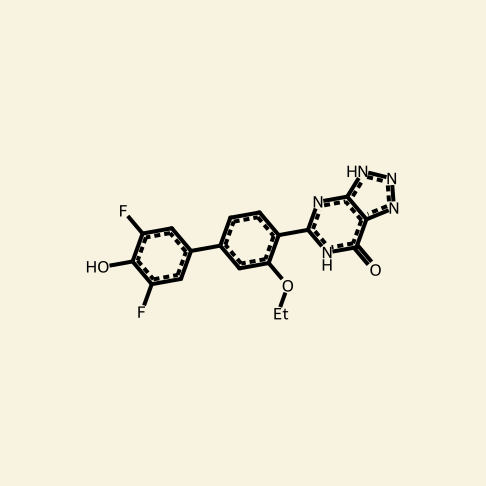 CCOc1cc(-c2cc(F)c(O)c(F)c2)ccc1-c1nc2[nH]nnc2c(=O)[nH]1